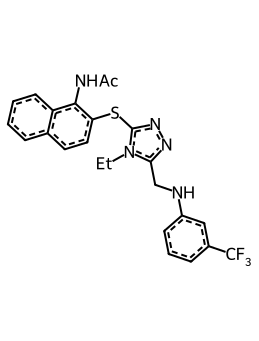 CCn1c(CNc2cccc(C(F)(F)F)c2)nnc1Sc1ccc2ccccc2c1NC(C)=O